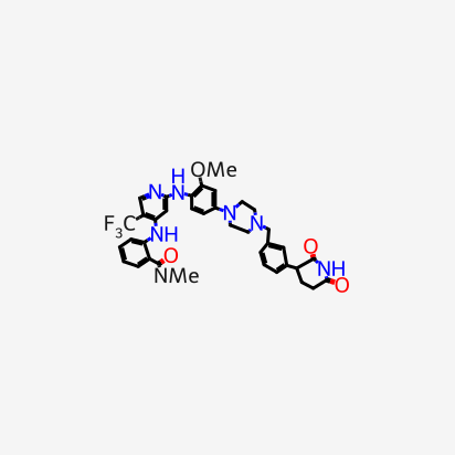 CNC(=O)c1ccccc1Nc1cc(Nc2ccc(N3CCN(Cc4cccc(C5CCC(=O)NC5=O)c4)CC3)cc2OC)ncc1C(F)(F)F